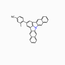 Cc1cc(C#N)ccc1-c1cc2c3cc4ccccc4cc3n3c4cc5ccccc5cc4c(c1)c23